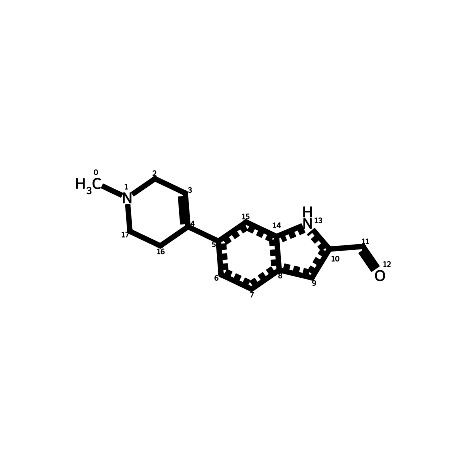 CN1CC=C(c2ccc3cc(C=O)[nH]c3c2)CC1